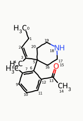 CC/C=C(/C)C1(c2c(C)cccc2C(C)=O)CCNCC1